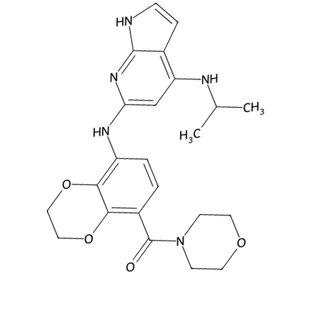 CC(C)Nc1cc(Nc2ccc(C(=O)N3CCOCC3)c3c2OCCO3)nc2[nH]ccc12